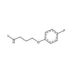 Fc1ccc(OCCCNI)cc1